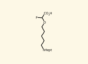 CCCCCCCCCCCCOC(F)C(=O)O